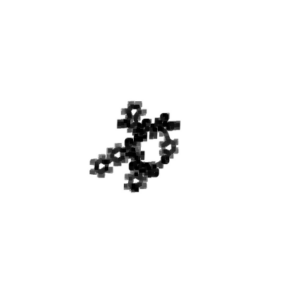 O=C1COc2ccc(cc2)C[C@H](C(=O)O)NC(=O)[C@H](Cc2c[nH]c3ccccc23)NC(=O)[C@@H](Cc2ccc(-c3ccccc3)cc2)NC(=O)[C@H](Cc2ccncc2)N1